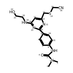 CN(C)C(=O)Nc1ccc(-c2nc(CSCC#N)cc(NCCO)n2)cc1